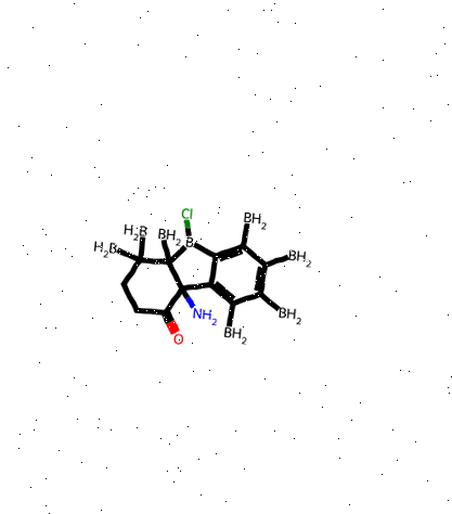 Bc1c(B)c(B)c2c(c1B)B(Cl)C1(B)C(B)(B)CCC(=O)C21N